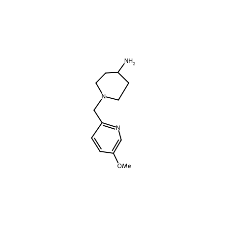 COc1ccc(CN2CCC(N)CC2)nc1